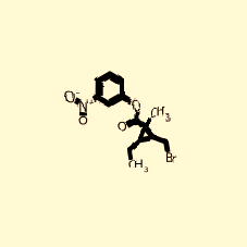 CCC1C(CBr)C1(C)C(=O)Oc1cccc([N+](=O)[O-])c1